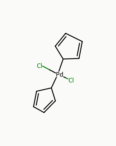 [Cl][Pd]([Cl])([CH]1C=CC=C1)[CH]1C=CC=C1